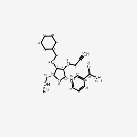 C#CCO[C@@H]1[C@H](OCC2CCCCC2)[C@@H](CO)O[C@H]1[n+]1cccc(C(N)=O)c1.[Br-]